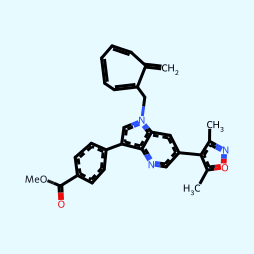 C=C1C=CC=CC=C1Cn1cc(-c2ccc(C(=O)OC)cc2)c2ncc(-c3c(C)noc3C)cc21